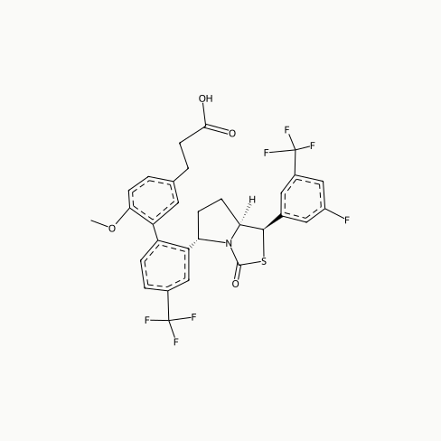 COc1ccc(CCC(=O)O)cc1-c1ccc(C(F)(F)F)cc1[C@@H]1CC[C@H]2[C@@H](c3cc(F)cc(C(F)(F)F)c3)SC(=O)N12